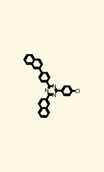 Clc1ccc(-c2nc(-c3ccc(-c4ccc5ccccc5c4)cc3)nc(-c3ccc4ccccc4c3)n2)cc1